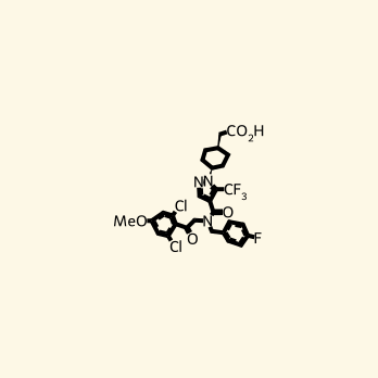 COc1cc(Cl)c(C(=O)CN(Cc2ccc(F)cc2)C(=O)c2cnn([C@H]3CC[C@H](CC(=O)O)CC3)c2C(F)(F)F)c(Cl)c1